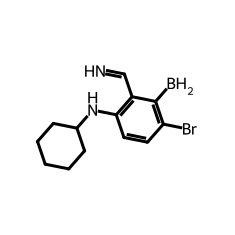 Bc1c(Br)ccc(NC2CCCCC2)c1C=N